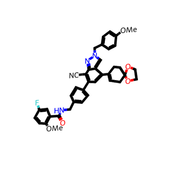 COc1ccc(Cn2cc3c(C4=CCC5(CC4)OCCO5)cc(-c4ccc(CNC(=O)c5cc(F)ccc5OC)cc4)c(C#N)c3n2)cc1